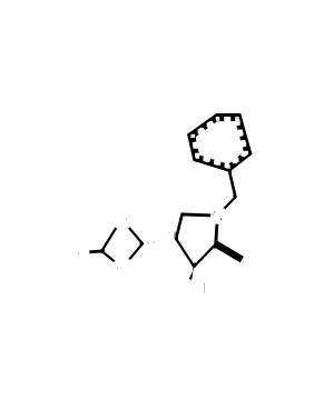 CC1OC([C@@H]2CN(Cc3ccccc3)C(=O)[C@H]2O)O1